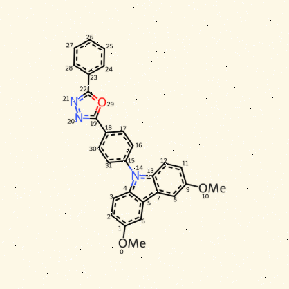 COc1ccc2c(c1)c1cc(OC)ccc1n2-c1ccc(-c2nnc(-c3ccccc3)o2)cc1